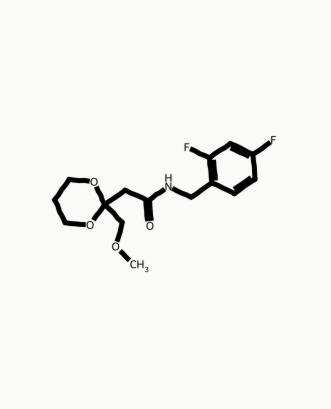 COCC1(CC(=O)NCc2ccc(F)cc2F)OCCCO1